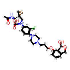 CC(=O)NC[C@@]1(CN(C(=O)O)c2ccc(N3CCN(CCCOc4cccc5c4B(O)OC5)CC3)c(F)c2)CS1